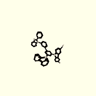 Fc1ccc2c(c1)c1cc(F)ccc1n2-c1cc(-c2cccc(-n3c(-c4ccccc4)nc4ccccc43)c2)cc(-n2c3ccccc3c3ccccc32)c1